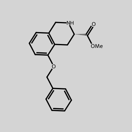 COC(=O)[C@@H]1Cc2c(cccc2OCc2ccccc2)CN1